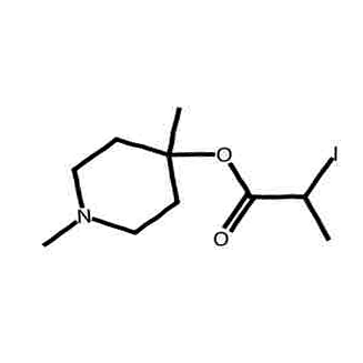 CC(I)C(=O)OC1(C)CCN(C)CC1